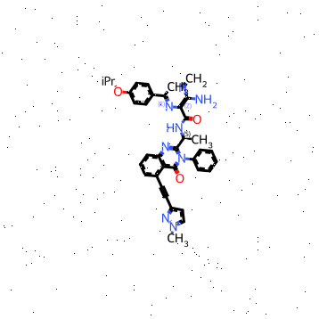 C=N/C(N)=C(\N=C(/C)c1ccc(OC(C)C)cc1)C(=O)N[C@@H](C)c1nc2cccc(C#Cc3ccn(C)n3)c2c(=O)n1-c1ccccc1